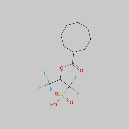 O=C(OC(C(F)(F)F)C(F)(F)S(=O)(=O)O)C1CCCCCCC1